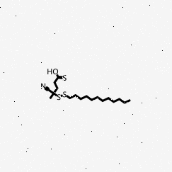 CCCCCCCCCCCCSSC(C)(C#N)CCC(O)=S